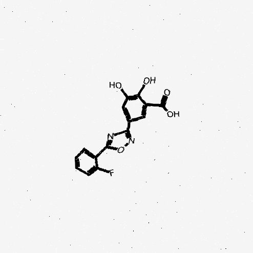 O=C(O)c1cc(-c2noc(-c3ccccc3F)n2)cc(O)c1O